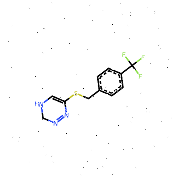 FC(F)(F)c1ccc(CSC2=CNCN=N2)cc1